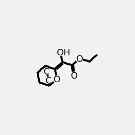 CCOC(=O)/C(O)=C1\OC2CCC1CC2